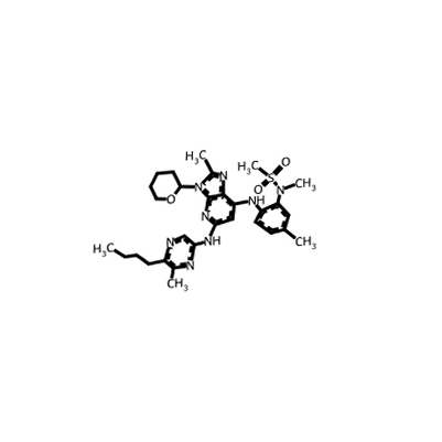 CCCCc1ncc(Nc2cc(Nc3ccc(C)cc3N(C)S(C)(=O)=O)c3nc(C)n(C4CCCCO4)c3n2)nc1C